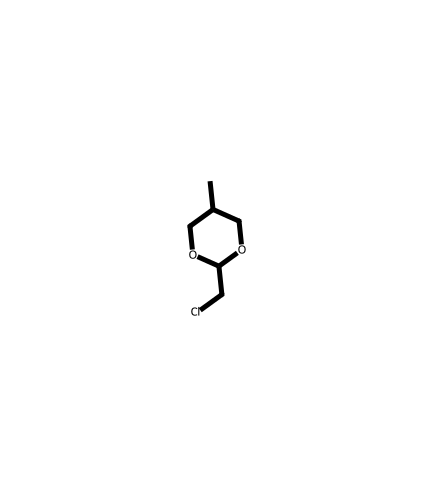 CC1COC(CCl)OC1